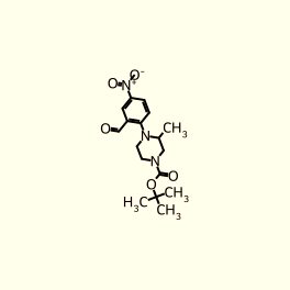 CC1CN(C(=O)OC(C)(C)C)CCN1c1ccc([N+](=O)[O-])cc1C=O